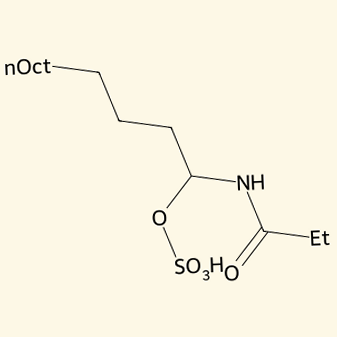 CCCCCCCCCCCC(NC(=O)CC)OS(=O)(=O)O